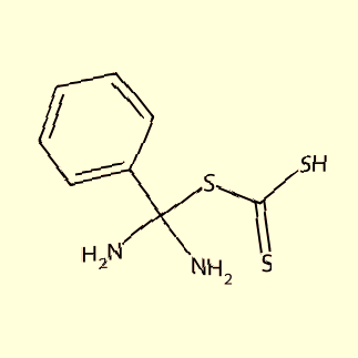 NC(N)(SC(=S)S)c1ccccc1